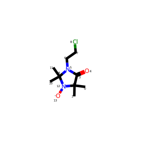 CC1(C)C(=O)N(CCCl)C(C)(C)N1[O]